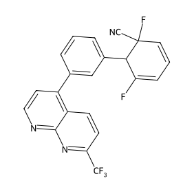 N#CC1(F)C=CC=C(F)C1c1cccc(-c2ccnc3nc(C(F)(F)F)ccc23)c1